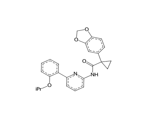 CC(C)Oc1ccccc1-c1cccc(NC(=O)C2(c3ccc4c(c3)OCO4)CC2)n1